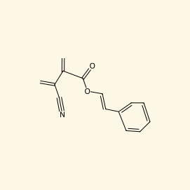 C=C(C#N)C(=C)C(=O)OC=Cc1ccccc1